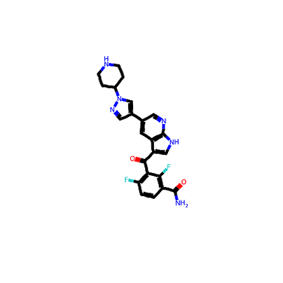 NC(=O)c1ccc(F)c(C(=O)c2c[nH]c3ncc(-c4cnn(C5CCNCC5)c4)cc23)c1F